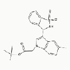 Cc1ccc2c(c1)c(C1NS(=O)(=O)c3ccccc31)cn2CC(=O)OC(C)(C)C